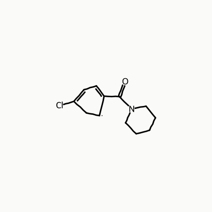 O=C(C1=CC=C(Cl)C[CH]1)N1CCCCC1